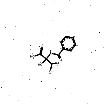 O=C(NC(O)(C(=O)O)C(O)O)c1ccccc1